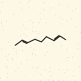 [CH2]C=CCCCC=C[CH2]